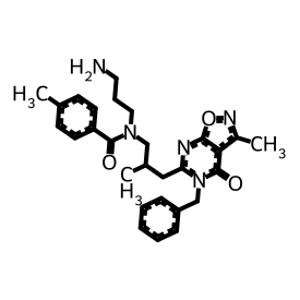 Cc1ccc(C(=O)N(CCCN)CC(C)Cc2nc3onc(C)c3c(=O)n2Cc2ccccc2)cc1